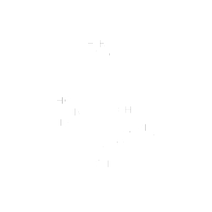 BOCCC(C)CC(B(C)O)C(COB)CC(C)=O